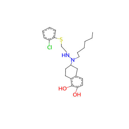 CCCCCCN(NCCSc1ccccc1Cl)C1CCc2c(ccc(O)c2O)C1